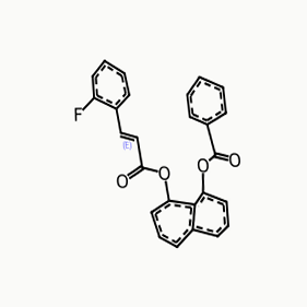 O=C(/C=C/c1ccccc1F)Oc1cccc2cccc(OC(=O)c3ccccc3)c12